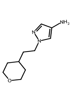 Nc1cnn(CCC2CCOCC2)c1